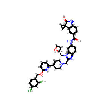 O=C(Nc1ccc2nc(CN3CC=C(c4cccc(OCc5ccc(Cl)cc5F)n4)CC3)n(C[C@@H]3CCO3)c2c1)c1ccc2c(c1)C1(CC1)C(=O)N2